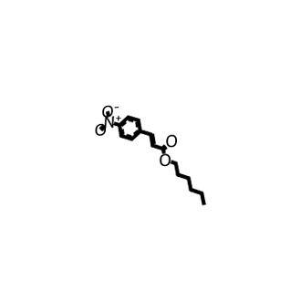 CCCCCCOC(=O)/C=C/c1ccc([N+](=O)[O-])cc1